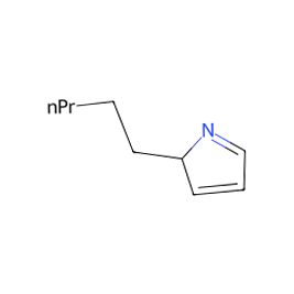 CCCCCC1C=CC=N1